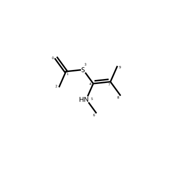 C=C(C)SC(NC)=C(C)C